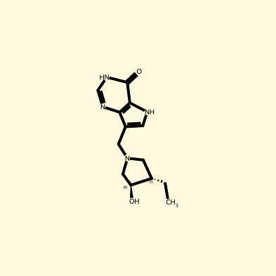 CC[C@H]1CN(Cc2c[nH]c3c(=O)[nH]cnc23)C[C@@H]1O